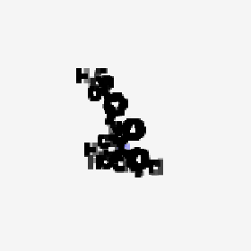 COC(=O)c1cccc(CN2C(=O)/C(=C(/c3ccc(Cl)cc3)C(C)(C)O)c3ccccc32)c1